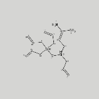 C=CC[SiH](CC=C(N)N)O[Si](CC=C)(CC=C)CC=C